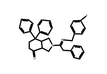 O=C1CCC(c2ccccc2)(c2ccccc2)C2CN(C(Cc3ccccc3)=NCc3ccc(F)cc3)CC12